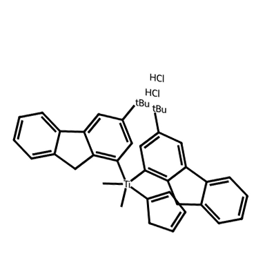 CC(C)(C)c1cc2c([c]([Ti]([CH3])([CH3])([C]3=CC=CC3)[c]3cc(C(C)(C)C)cc4c3Cc3ccccc3-4)c1)Cc1ccccc1-2.Cl.Cl